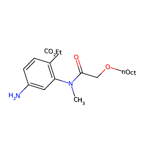 CCCCCCCCOCC(=O)N(C)c1cc(N)ccc1C(=O)OCC